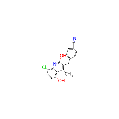 Cc1c(Cc2ccc(C#N)cc2)c(O)nc2c(Cl)ccc(O)c12